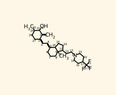 C=C1/C(=C\C=C2/CCCC3(C)C(CCN4CCC(C(F)(F)F)CC4)CCC23)CCC(C)C1O